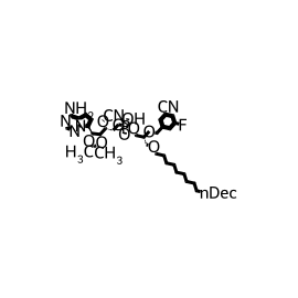 CCCCCCCCCCCCCCCCCCCOC[C@H](COP(=O)(O)OC[C@@H](OC#N)[C@H]1OC(C)(C)O[C@H]1c1ccc2c(N)ncnn12)OCc1cc(F)cc(C#N)c1